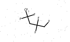 F[CH]C(F)(F)CC(F)(F)C(F)(F)F